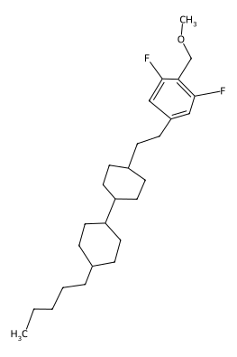 CCCCCC1CCC(C2CCC(CCc3cc(F)c(COC)c(F)c3)CC2)CC1